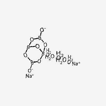 O.O.O.O.O.[Na+].[Na+].[O-]B1OB2OB([O-])OB(O1)O2